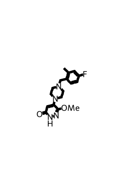 COc1n[nH]c(=O)cc1N1CCN(Cc2ccc(F)cc2C)CC1